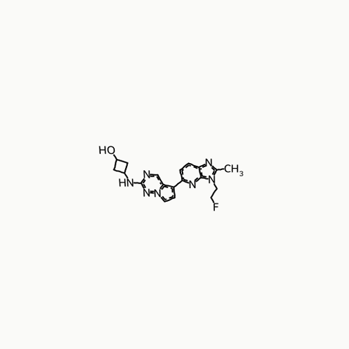 Cc1nc2ccc(-c3ccn4nc(NC5CC(O)C5)ncc34)nc2n1CCF